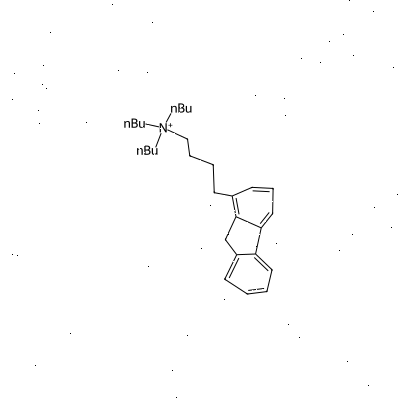 CCCC[N+](CCCC)(CCCC)CCCCc1cccc2c1Cc1ccccc1-2